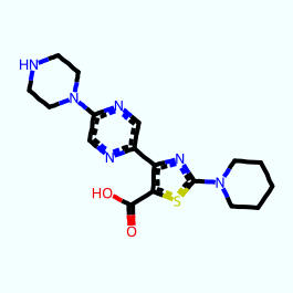 O=C(O)c1sc(N2CCCCC2)nc1-c1cnc(N2CCNCC2)cn1